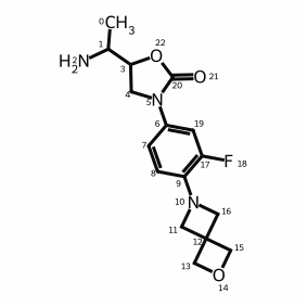 CC(N)C1CN(c2ccc(N3CC4(COC4)C3)c(F)c2)C(=O)O1